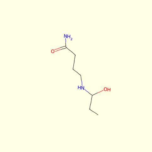 CCC(O)NCCCC(N)=O